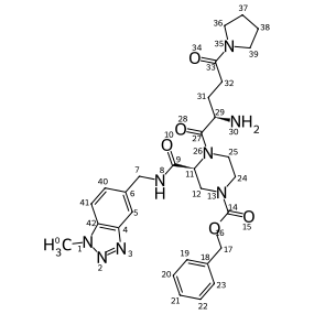 Cn1nnc2cc(CNC(=O)[C@@H]3CN(C(=O)OCc4ccccc4)CCN3C(=O)[C@H](N)CCC(=O)N3CCCC3)ccc21